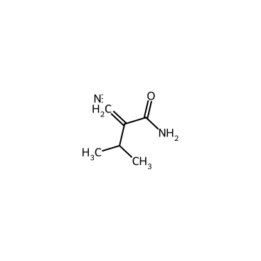 C=C(C(N)=O)C(C)C.[N]